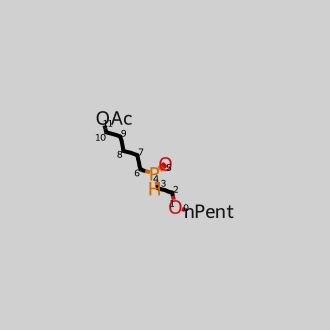 CCCCCOCC[PH](=O)CCCCCOC(C)=O